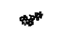 C=C(C(=O)N[C@H]1C=C(C)c2c(-c3cnc4ccccc4c3)c3c(N)ncnc3n2C1)C(F)(F)F